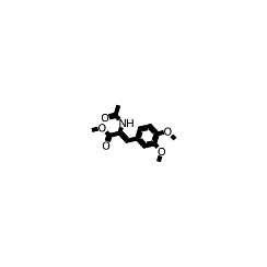 COC(=O)C(=Cc1ccc(OC)c(OC)c1)NC(C)=O